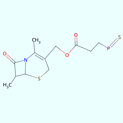 CC1=C(COC(=O)CCP=S)CSC2C(C)C(=O)N12